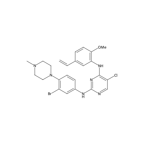 C=Cc1ccc(OC)c(Nc2nc(Nc3ccc(N4CCN(C)CC4)c(Br)c3)ncc2Cl)c1